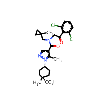 Cc1c(C(=O)N(CC(=O)c2c(Cl)cccc2Cl)CC2(C(F)(F)F)CC2)cnn1[C@H]1CC[C@](C)(C(=O)O)CC1